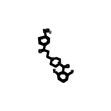 O=C(CCN1CCN(C(=O)c2c(F)cccc2F)CC1)c1ccc([N+](=O)[O-])cc1